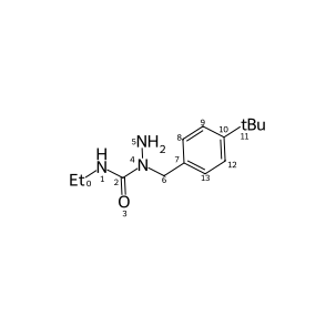 CCNC(=O)N(N)Cc1ccc(C(C)(C)C)cc1